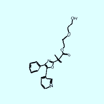 CC(C)(C(=O)OCCOCCO)c1nc(-c2ccccc2)c(-c2cccnc2)o1